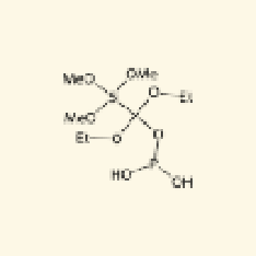 CCOC(OCC)(OP(O)O)[Si](OC)(OC)OC